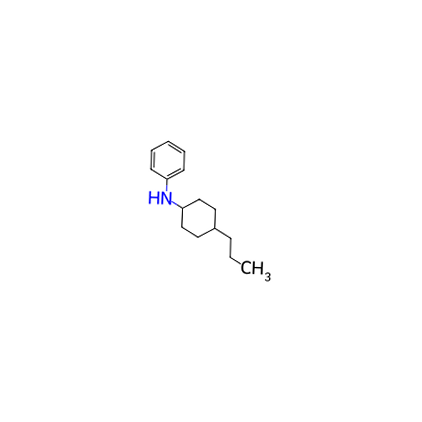 CCCC1CCC(Nc2ccccc2)CC1